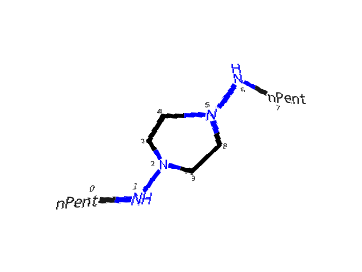 CCCCCNN1CCN(NCCCCC)CC1